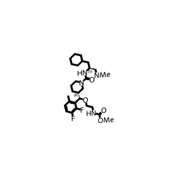 CNC[C@H](CC1CCCCC1)NC(=O)N1CCC[C@@H](C(OCCNC(=O)OC)c2c(C)ccc(F)c2F)C1